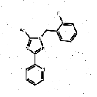 CC(=O)c1nc(-c2ccccn2)nn1Cc1ccccc1F